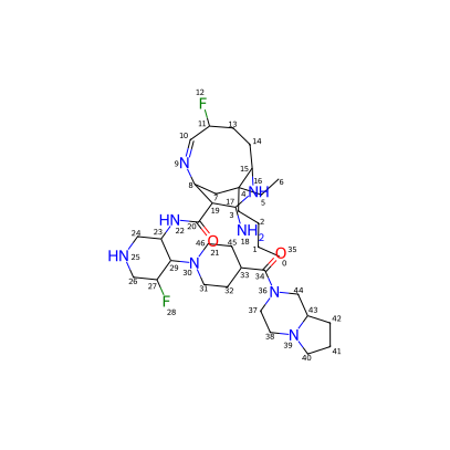 CCCCC1(CC)CC2/N=C\C(F)CCC1NC(N)C2C(=O)NC1CNCC(F)C1N1CCC(C(=O)N2CCN3CCCC3C2)CC1